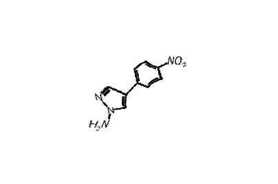 Nn1cc(-c2ccc([N+](=O)[O-])cc2)cn1